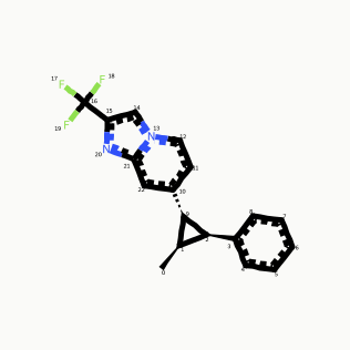 C[C@@H]1[C@H](c2ccccc2)[C@H]1c1ccn2cc(C(F)(F)F)nc2c1